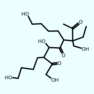 CCC(CO)(C(C)=O)C(CCCCO)C(=O)C(O)C(CCCCO)C(=O)CO